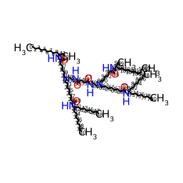 CCCCCCCCCCC(CC)NC(=O)CCCCCN(CCCCCCCC(=O)NC(CCCCCCCC)CCCCCCCC)CCNC(=O)CCC(=O)NCCN(CCCCCCCC(=O)NC(CCCCCCCC)CCCCCCCC)CCCCCC(=O)NC(CC)CCCCCCCCCC